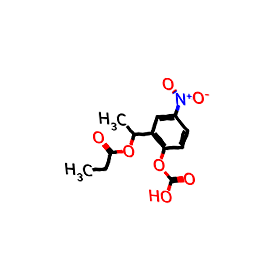 CCC(=O)OC(C)c1cc([N+](=O)[O-])ccc1OC(=O)O